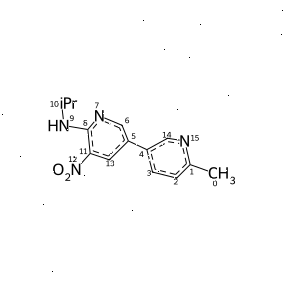 Cc1ccc(-c2cnc(NC(C)C)c([N+](=O)[O-])c2)cn1